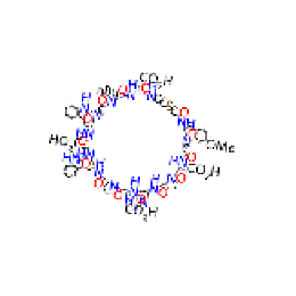 CCCC[C@H]1C(=O)N[C@@H](CCC(=O)O)C(=O)NCCSCC(=O)N[C@@H](Cc2ccc(OC)cc2)C(=O)N(C)CC(=O)N[C@@H](CC(=O)O)C(=O)N2CCCC2C(=O)N[C@@H](CN)C(=O)N[C@@H](CCC(=O)O)C(=O)N2CCCC2C(=O)N[C@@H](Cc2c[nH]c3ccccc23)C(=O)N[C@@H](CC(=O)O)C(=O)N[C@@H](Cc2c[nH]c3ccccc23)C(=O)N(C)CC(=O)N1C